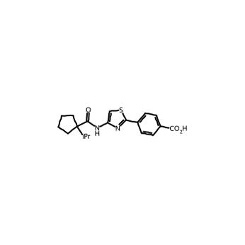 CC(C)C1(C(=O)Nc2csc(-c3ccc(C(=O)O)cc3)n2)CCCC1